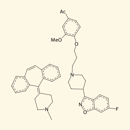 CN1CCC(=C2c3ccccc3C=Cc3ccccc32)CC1.COc1cc(C(C)=O)ccc1OCCCN1CCC(c2noc3cc(F)ccc23)CC1